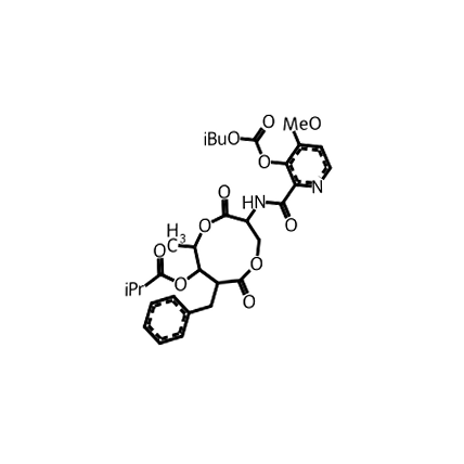 COc1ccnc(C(=O)NC2COC(=O)C(Cc3ccccc3)C(OC(=O)C(C)C)C(C)OC2=O)c1OC(=O)OCC(C)C